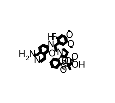 COc1cc(F)c([C@@H](Nc2ccc3c(N)nccc3c2)C(=O)N2CC[C@H](OC(=O)O)[C@H]2c2ccccc2S(=O)(=O)C(C)C)cc1OC